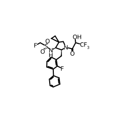 O=C(C(O)C(F)(F)F)N1CC2(CC2)[C@H](NS(=O)(=O)CF)[C@@H]1Cc1cccc(-c2ccccc2)c1F